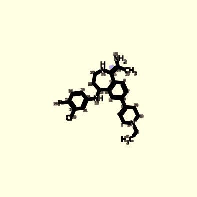 CCN1CC=C(c2ccc3c(c2)C(Nc2ccc(F)c(Cl)c2)CCN/C3=C(/C)N)CC1